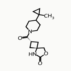 CC1(C2CCN(C(=O)[C@H]3C[C@]4(COC(=O)N4)C3)CC2)CC1